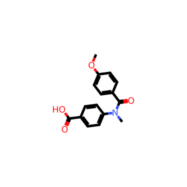 COc1ccc(C(=O)N(C)c2ccc(C(=O)O)cc2)cc1